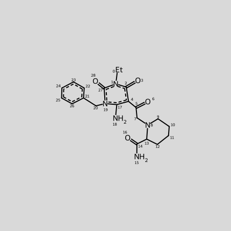 CCn1c(=O)c(C(=O)CN2CCCCC2C(N)=O)c(N)n(Cc2ccccc2)c1=O